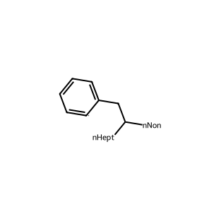 CCCCCCCCCC(CCCCCCC)Cc1[c]cccc1